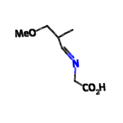 COCC(C)C=NCC(=O)O